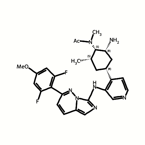 COc1cc(F)c(-c2ccc3cnc(Nc4cnccc4[C@H]4C[C@@H](N)[C@@H](N(C)C(C)=O)[C@@H](C)C4)n3n2)c(F)c1